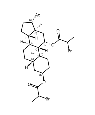 CC(=O)[C@H]1CC[C@H]2[C@@H]3CC[C@H]4C[C@H](OC(=O)C(C)Br)CC[C@]4(C)[C@H]3[C@@H](OC(=O)C(C)Br)C[C@]12C